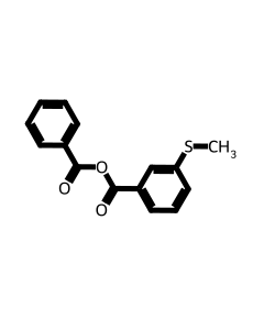 CSc1cccc(C(=O)OC(=O)c2ccccc2)c1